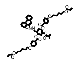 C=CC(=O)OCCCCCCOc1ccc(C(=O)Oc2cc(OC(=O)C(=C)C)c(OC(=O)c3ccc(OCCCCCCOC(=O)C=C)cc3)cc2/C=N/Nc2cc3ccccc3c3ccccc23)cc1